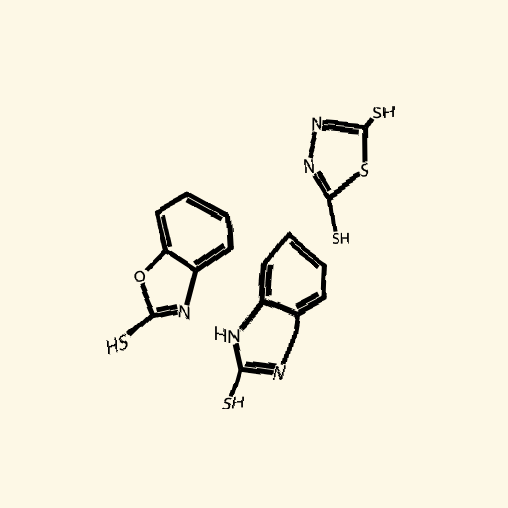 Sc1nc2ccccc2[nH]1.Sc1nc2ccccc2o1.Sc1nnc(S)s1